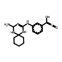 NC1N=C(Nc2cccc(C(O)=C=O)c2)NC2(CCCCC2)N1